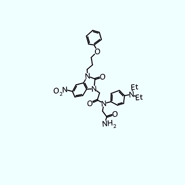 CCN(CC)c1ccc(N(CC(N)=O)C(=O)Cn2c(=O)n(CCCOc3ccccc3)c3cc([N+](=O)[O-])ccc32)cc1